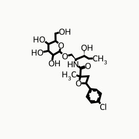 CC[C@@H](O)[C@H](COC1OC(CO)C(O)C(O)C1O)NC(=O)C1(C)CC(c2ccc(Cl)cc2)O1